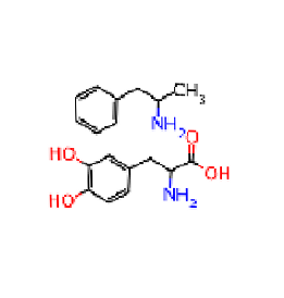 CC(N)Cc1ccccc1.NC(Cc1ccc(O)c(O)c1)C(=O)O